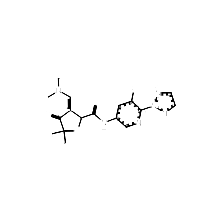 CN(C)/C=C1\C(=O)C(C)(C)OC1C(=O)Nc1cnc(-n2nccn2)c(Cl)c1